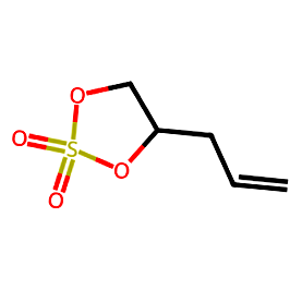 C=CCC1COS(=O)(=O)O1